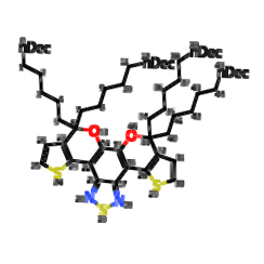 CCCCCCCCCCCCCCCC1(CCCCCCCCCCCCCCC)Oc2c3c(c4nsnc4c2-c2sccc21)-c1sccc1C(CCCCCCCCCCCCCCC)(CCCCCCCCCCCCCCC)O3